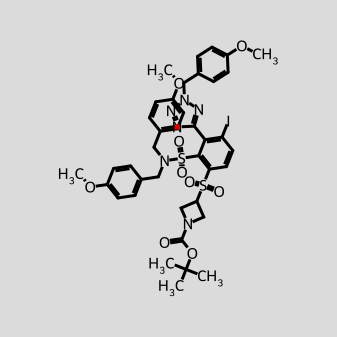 COc1ccc(CN(Cc2ccc(OC)cc2)S(=O)(=O)c2c(S(=O)(=O)C3CN(C(=O)OC(C)(C)C)C3)ccc(I)c2-c2nnn(Cc3ccc(OC)cc3)n2)cc1